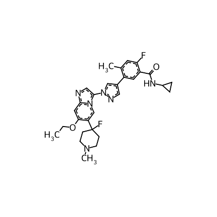 CCOc1cc2ncc(-n3cc(-c4cc(C(=O)NC5CC5)c(F)cc4C)cn3)n2cc1C1(F)CCN(C)CC1